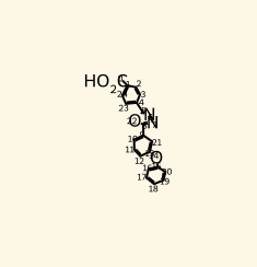 O=C(O)c1ccc(-c2nnc(-c3cccc(Oc4ccccc4)c3)o2)cc1